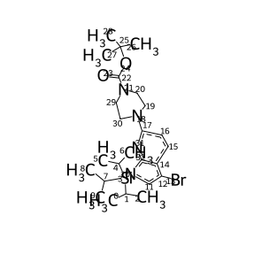 CC(C)[Si](C(C)C)(C(C)C)n1cc(Br)c2ccc(N3CCN(C(=O)OC(C)(C)C)CC3)nc21